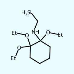 CCOC1(NC[SiH3])CCCCC1(OCC)OCC